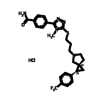 Cl.Cn1c(SCCCN2CC[C@]3(C[C@@H]3c3ccc(C(F)(F)F)cc3)C2)nnc1-c1ccc(C(N)=O)cc1